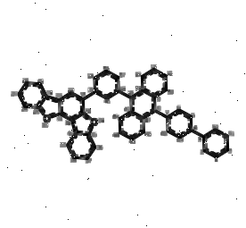 c1ccc(-c2ccc(-c3c4ccccc4c(-c4cccc(-c5cc6c7ccccc7oc6c6c5oc5ccccc56)c4)c4ccccc34)cc2)cc1